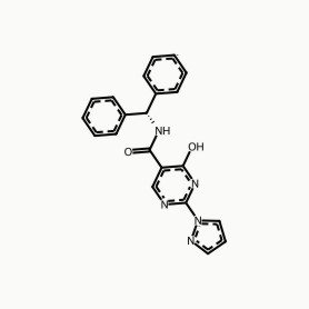 O=C(N[C@@H](c1cc[c]cc1)c1ccccc1)c1cnc(-n2cccn2)nc1O